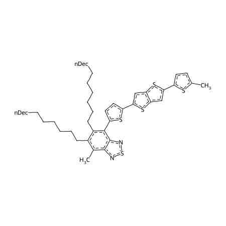 CCCCCCCCCCCCCCCCc1c(CCCCCCCCCCCCCCCC)c(-c2ccc(-c3cc4sc(-c5ccc(C)s5)cc4s3)s2)c2nsnc2c1C